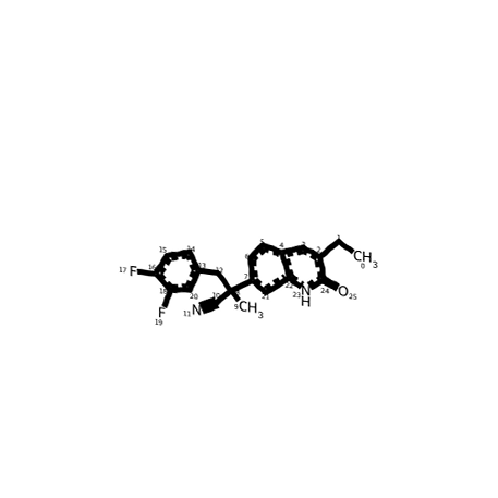 CCc1cc2ccc(C(C)(C#N)Cc3ccc(F)c(F)c3)cc2[nH]c1=O